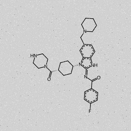 O=C(/N=c1\[nH]c2ccc(CN3CCCCC3)cc2n1[C@H]1CC[C@@H](C(=O)N2CCNCC2)CC1)c1ccc(F)cc1